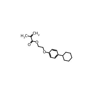 C=C(C)C(=O)OCCOc1ccc(C2CCCCC2)cc1